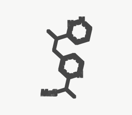 CSC(C)c1cc(CC(C)c2cccnn2)ccn1